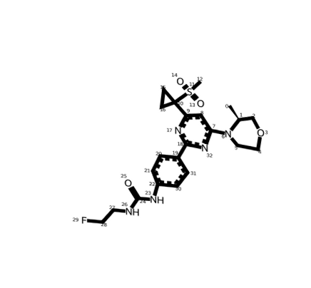 C[C@H]1COCCN1c1cc(C2(S(C)(=O)=O)CC2)nc(-c2ccc(NC(=O)NCCF)cc2)n1